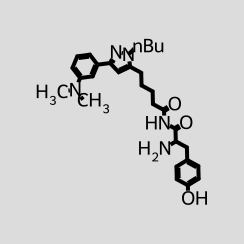 CCCCn1nc(-c2cccc(N(C)C)c2)cc1CCCCC(=O)NC(=O)C(N)Cc1ccc(O)cc1